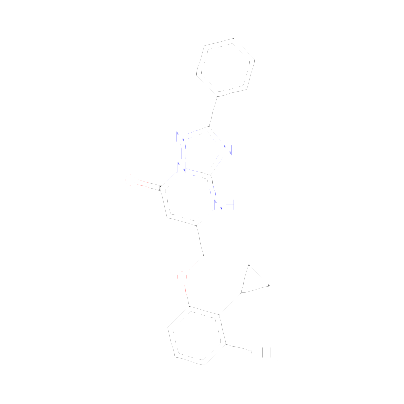 Cc1cccc(OCc2cc(=O)n3nc(-c4ccccc4)nc3[nH]2)c1C1CC1